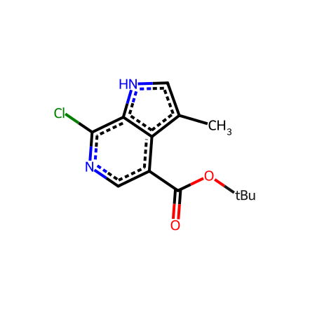 Cc1c[nH]c2c(Cl)ncc(C(=O)OC(C)(C)C)c12